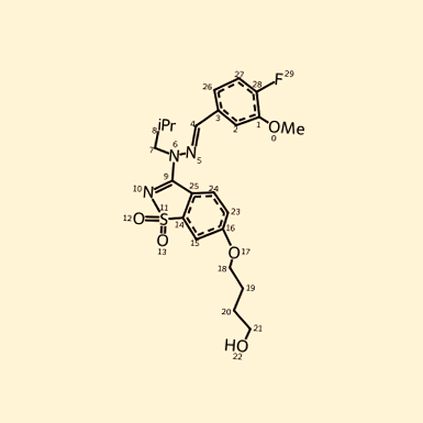 COc1cc(/C=N/N(CC(C)C)C2=NS(=O)(=O)c3cc(OCCCCO)ccc32)ccc1F